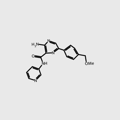 COCc1ccc(-c2cnc(N)c(C(=O)Nc3cccnc3)n2)cc1